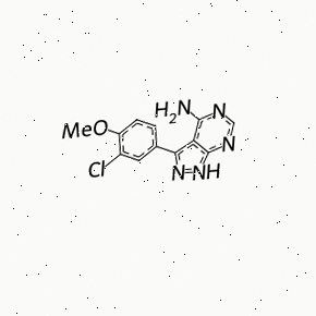 COc1ccc(-c2n[nH]c3ncnc(N)c23)cc1Cl